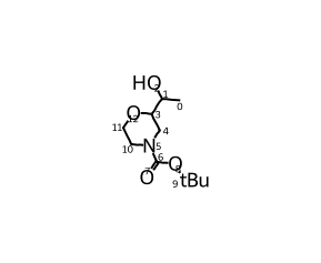 CC(O)C1CN(C(=O)OC(C)(C)C)CCO1